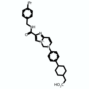 CC(C)c1ccc(CNC(=O)C2=C[N+]3CN(c4ccc(C5CCC(CC(=O)O)CC5)cc4)C=CC3=N2)cc1